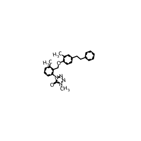 Cc1cc(CCc2ccccc2)ccc1OCc1c(C)cccc1-n1nnn(C)c1=O